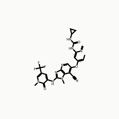 C=N/C(=C\C(=C/C)Oc1cnc2nc(Nc3cc(C(F)(F)F)cn(C)c3=O)n(C)c2c1C#N)NC(=O)NC1CC1